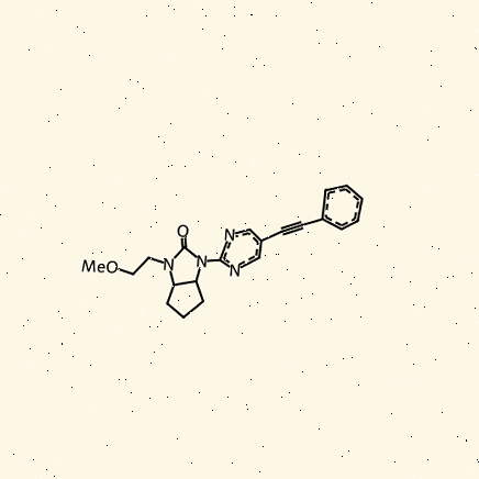 COCCN1C(=O)N(c2ncc(C#Cc3ccccc3)cn2)C2CCCC21